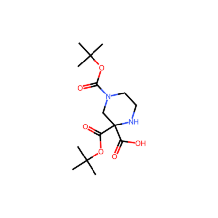 CC(C)(C)OC(=O)N1CCNC(C(=O)O)(C(=O)OC(C)(C)C)C1